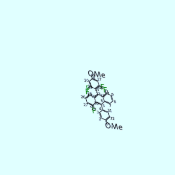 COc1ccc(-c2c3cccc(F)c3c(-c3c(F)cc(OC)cc3F)c3c(F)ccc(F)c23)cc1